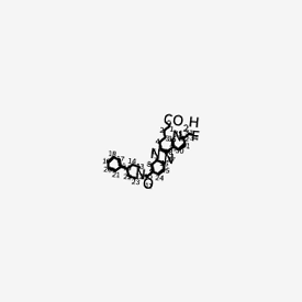 O=C(O)CCCCc1nc2cc(C(=O)N3CCC(c4ccccc4)CC3)ccc2nc1-c1ccc(CF)nc1